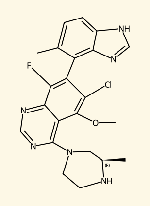 COc1c(Cl)c(-c2c(C)ccc3[nH]cnc23)c(F)c2ncnc(N3CCN[C@H](C)C3)c12